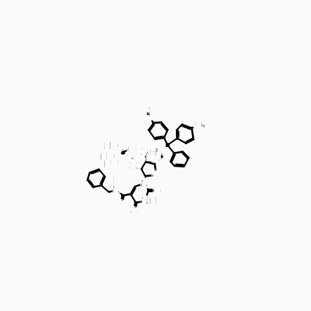 COc1ccc(C(OC[C@H]2O[C@@H](n3cc(C(=O)NCc4ccccc4)c(=O)[nH]c3=O)[C@H](O[Si](C)(C)C(C)(C)C)[C@@H]2O)(c2ccccc2)c2ccc(OC)cc2)cc1